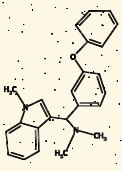 CN(C)C(c1cccc(Oc2ccccc2)c1)c1cn(C)c2ccccc12